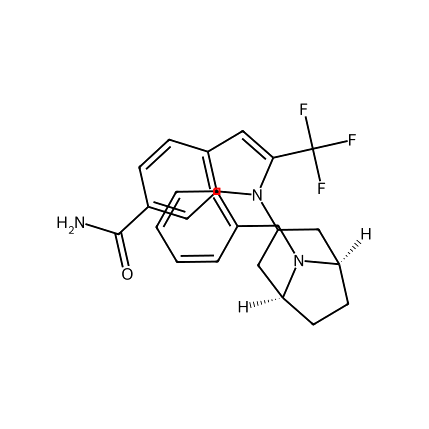 NC(=O)c1ccc2cc(C(F)(F)F)n(C3C[C@H]4CC[C@@H](C3)N4Cc3ccccc3)c2c1